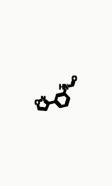 O=CNc1cccc(-c2ccon2)c1